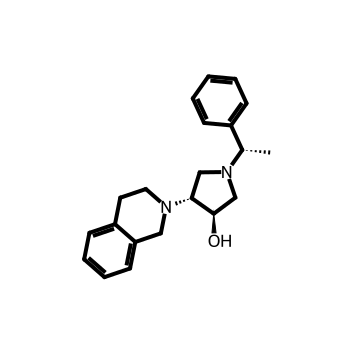 C[C@@H](c1ccccc1)N1C[C@@H](O)[C@H](N2CCc3ccccc3C2)C1